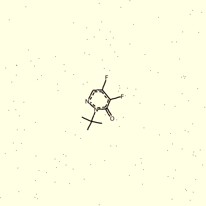 CC(C)(C)n1ncc(F)c(F)c1=O